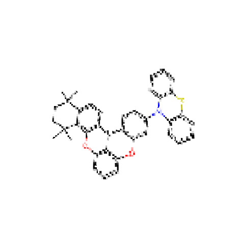 CC1(C)CCC(C)(C)c2c1ccc1c2Oc2cccc3c2B1c1ccc(N2c4ccccc4Sc4ccccc42)cc1O3